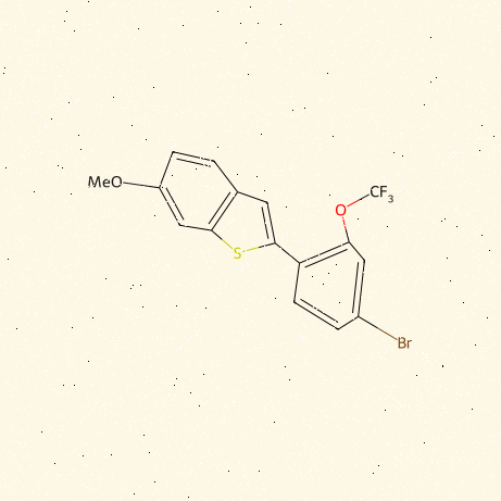 COc1ccc2cc(-c3ccc(Br)cc3OC(F)(F)F)sc2c1